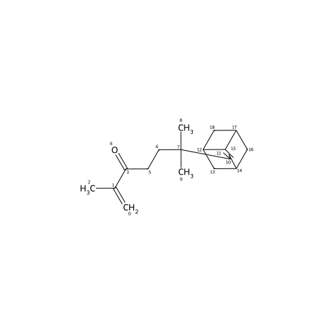 C=C(C)C(=O)CCC(C)(C)C1=C2C3CC(C1)CC2C3